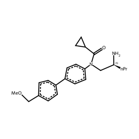 CCC[C@H](N)CN(C(=O)C1CC1)c1ccc(-c2ccc(COC)cc2)cc1